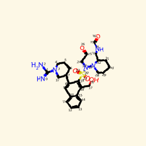 N=C(N)N1CCCC(c2cc3ccccc3c(CO)c2S(=O)(=O)N(CC=O)N2CCCCC2CNC=O)C1